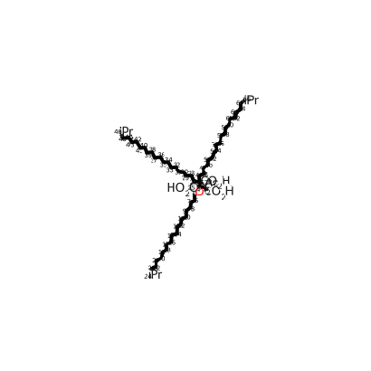 CC(=O)C(C(=O)O)C(OCCCCCCCCCCCCCCCCCCCC(C)C)(C(=O)O)C(CCCCCCCCCCCCCCCCCCCC(C)C)(CCCCCCCCCCCCCCCCCCCC(C)C)C(=O)O